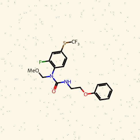 COCN(C(=O)NCCOc1ccccc1)c1ccc(SC(F)(F)F)cc1F